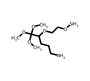 COC(OC)(OC)C(CCCN)OCCO[SiH3]